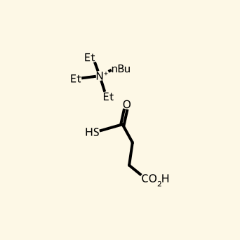 CCCC[N+](CC)(CC)CC.O=C(O)CCC(=O)S